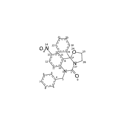 O=C1N(Cc2ccccc2)c2ccc([N+](=O)[O-])cc2C2(c3ccccc3)OCCN12